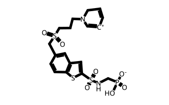 O=P([O-])(O)CNS(=O)(=O)c1cc2cc(CS(=O)(=O)CCCN3C=[C+]C=CC3)ccc2s1